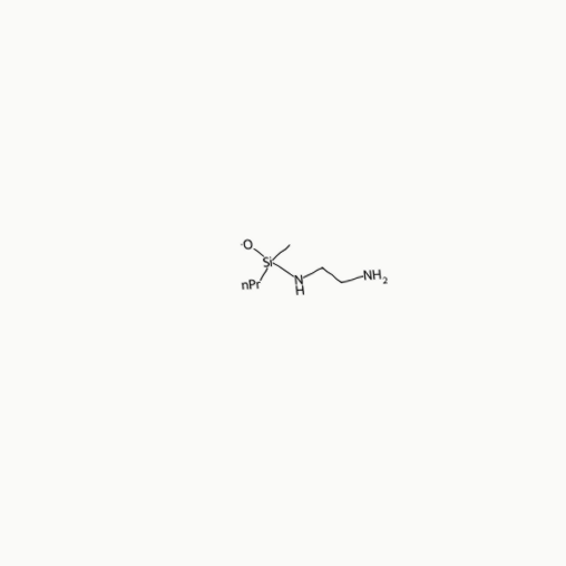 CCC[Si](C)([O])NCCN